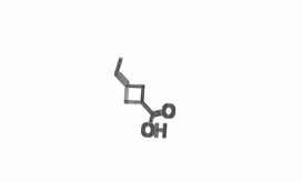 CC=C1CC(C(=O)O)C1